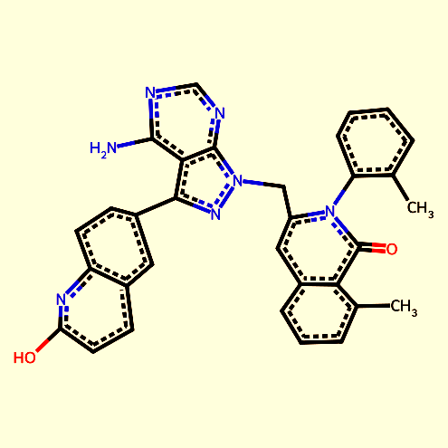 Cc1ccccc1-n1c(Cn2nc(-c3ccc4nc(O)ccc4c3)c3c(N)ncnc32)cc2cccc(C)c2c1=O